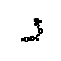 O=C(/C=C/c1cccc(/C=C/C(=O)c2ccc(N3CCNCC3)cc2)c1)NO